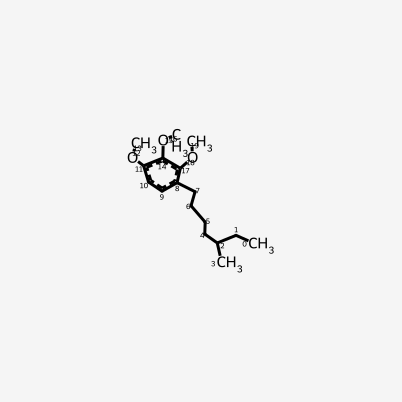 CCC(C)CCCCc1ccc(OC)c(OC)c1OC